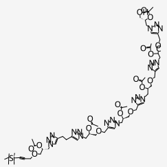 CC(=O)O[C@@H](CO)Cn1cc(COC[C@@H](Cn2cc(COC[C@@H](Cn3cc(COC[C@@H](Cn4cc(COC[C@@H](Cn5cc(CCc6cn(C[C@H](COCC#C[Si](C)(C)C(C)(C)C)OC(C)=O)nn6)nn5)OC(C)=O)nn4)OC(C)=O)nn3)OC(C)=O)nn2)OC(C)=O)nn1